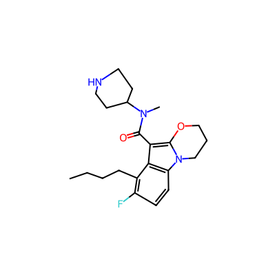 CCCCc1c(F)ccc2c1c(C(=O)N(C)C1CCNCC1)c1n2CCCO1